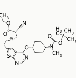 CCOC(=O)C(C#N)C[C@H]1CCc2sc3ncnc(O[C@H]4CC[C@H](N(C)C(=O)OC(C)(C)C)CC4)c3c21